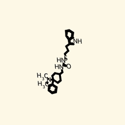 CN(C)C1(c2ccccc2)CCC(CNC(=O)NSCCCc2c[nH]c3ccccc23)CC1